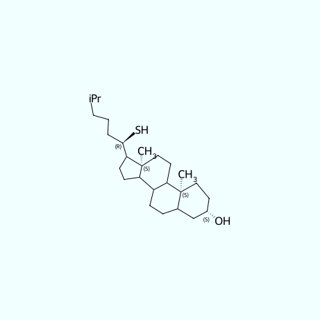 CC(C)CCC[C@@H](S)C1CCC2C3CCC4C[C@@H](O)CC[C@]4(C)C3CC[C@@]21C